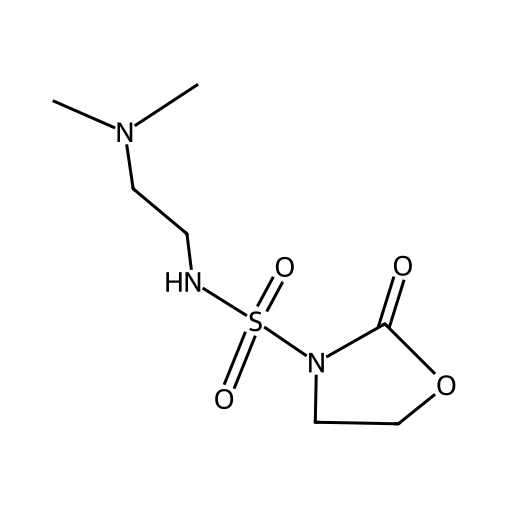 CN(C)CCNS(=O)(=O)N1CCOC1=O